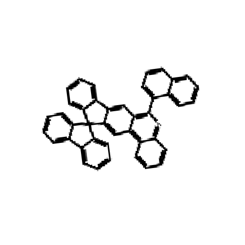 c1ccc2c(c1)-c1ccccc1C21c2ccccc2-c2cc3c(-c4cccc5ccccc45)nc4ccccc4c3cc21